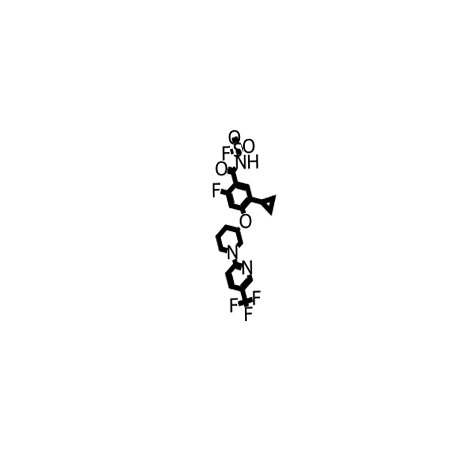 O=C(NS(=O)(=O)F)c1cc(C2CC2)c(O[C@@H]2CCCN(c3ccc(C(F)(F)F)cn3)C2)cc1F